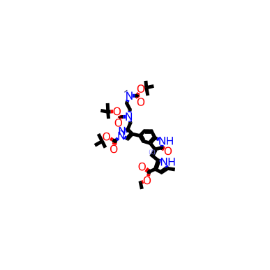 CCOC(=O)c1cc(C)[nH]c1/C=C1\C(=O)Nc2ccc(-c3cn(C(=O)OC(C)(C)C)nc3CN(CCN(C)C(=O)OC(C)(C)C)C(=O)OC(C)(C)C)cc21